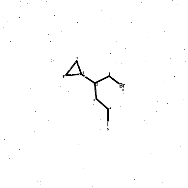 BrCC(CCI)C1CC1